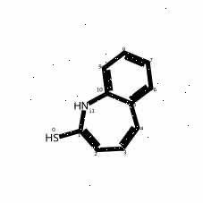 SC1=CC=Cc2ccccc2N1